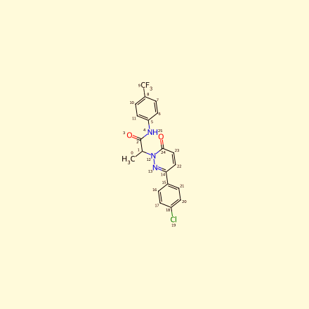 CC(C(=O)Nc1ccc(C(F)(F)F)cc1)n1nc(-c2ccc(Cl)cc2)ccc1=O